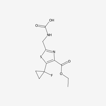 CCOC(=O)c1nc(CNC(=O)O)sc1C1(F)CC1